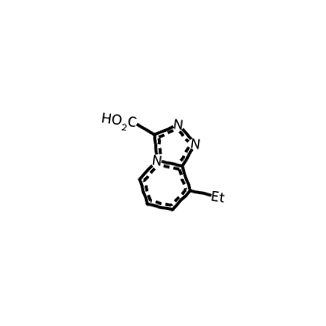 CCc1cccn2c(C(=O)O)nnc12